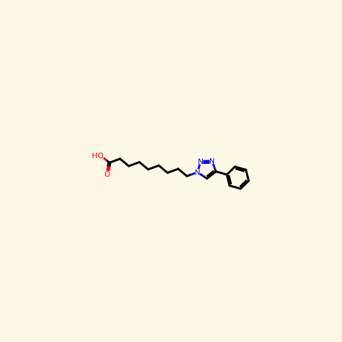 O=C(O)CCCCCCCCn1cc(-c2ccccc2)nn1